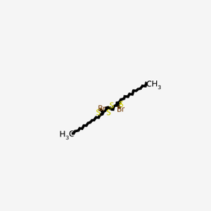 CCCCCCCCCCCCCCc1cc(-c2cc3sc(-c4cc(CCCCCCCCCCCCCC)sc4Br)cc3s2)c(Br)s1